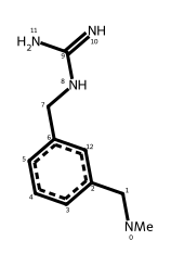 CNCc1cccc(CNC(=N)N)c1